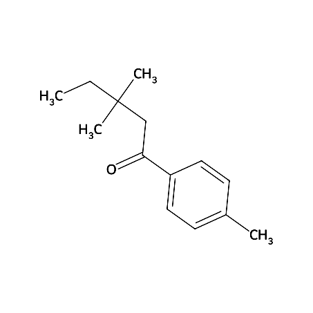 CCC(C)(C)CC(=O)c1ccc(C)cc1